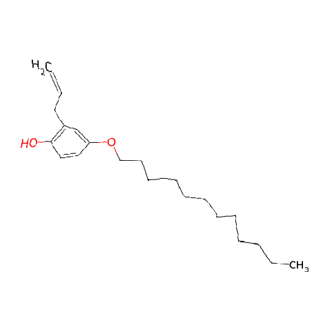 C=CCc1cc(OCCCCCCCCCCCC)ccc1O